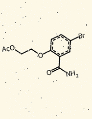 CC(=O)OCCOc1ccc(Br)cc1C(N)=O